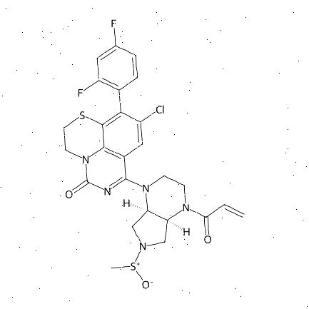 C=CC(=O)N1CCN(c2nc(=O)n3c4c(c(-c5ccc(F)cc5F)c(Cl)cc24)SCC3)[C@@H]2CN([S+](C)[O-])C[C@@H]21